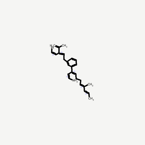 C=C(C)C(/C=C\CC)=C/Cc1cccc(C(/C=C\N)=C/CC/C=C(C)/C=C/C)c1